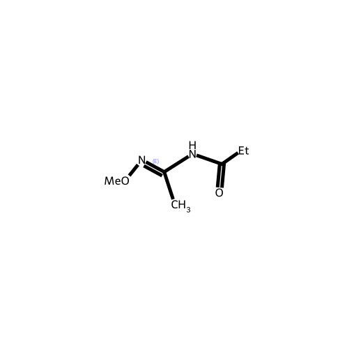 CCC(=O)N/C(C)=N/OC